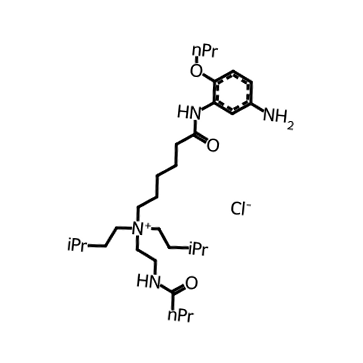 CCCOc1ccc(N)cc1NC(=O)CCCCC[N+](CCNC(=O)CCC)(CCC(C)C)CCC(C)C.[Cl-]